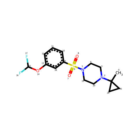 CC1(N2CCN(S(=O)(=O)c3cccc(OC(F)F)c3)CC2)CC1